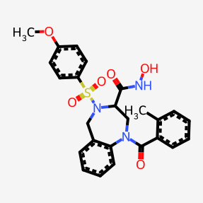 COc1ccc(S(=O)(=O)N2Cc3ccccc3N(C(=O)c3ccccc3C)CC2C(=O)NO)cc1